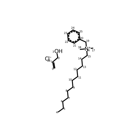 C=CCO.CCCCCCCCCCCC[N+](C)(C)Cc1ccccc1.[Cl-]